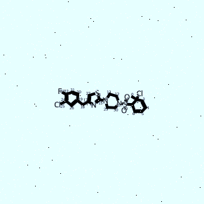 CC1(Cl)C=CC=CC1S(=O)(=O)N1CCN(c2nc(Cc3ccc(F)c(Cl)c3)cs2)CC1